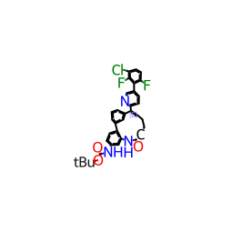 CC(C)(C)OC(=O)Nc1ccc2c(c1)NC(=O)CCC/C=C(/c1ccc(-c3c(F)ccc(Cl)c3F)cn1)c1cccc-2c1